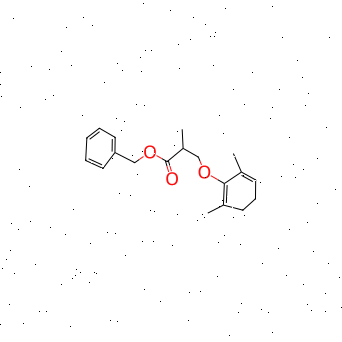 CC1=CCCC(C)=C1OCC(C)C(=O)OCc1ccccc1